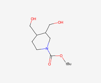 CC(C)(C)OC(=O)N1CCC(CO)C(CO)C1